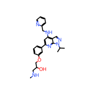 CNCC(O)COc1cccc(-c2cc(NCc3ccccn3)c3cnn(C(C)C)c3n2)c1